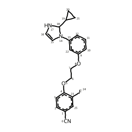 N#Cc1ccc(OCCOc2cccc(N3C=CNC3C3CC3)c2)c(F)c1